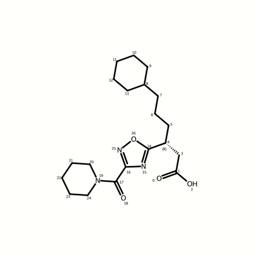 O=C(O)C[C@@H](CCCC1CCCCC1)c1nc(C(=O)N2CCCCC2)no1